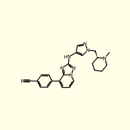 CN1CCCC[C@H]1Cn1cc(Nc2nc3c(-c4ccc(C#N)cc4)cccn3n2)cn1